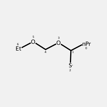 CCCC([S])OCOCC